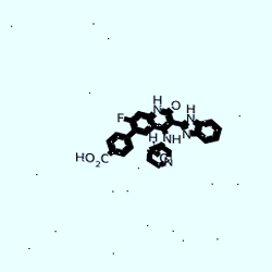 O=C(O)c1ccc(-c2cc3c(N[C@H]4CN5CCC4CC5)c(-c4nc5ccccc5[nH]4)c(=O)[nH]c3cc2F)cc1